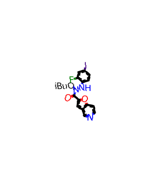 CC(C)CON(Nc1ccc(I)cc1F)C(=O)c1cc2cnccc2o1